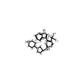 FC(F)(F)c1cnc(NC2CCN(C3CCNCC3)C2)nc1-c1c[nH]c2ncccc12